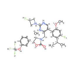 COc1cc(F)c(C(C)C)cc1-c1cnc(N2CC(F)C2)nc1CN1C(=O)O[C@H](c2cccc(OC(F)(F)F)c2)[C@@H]1C